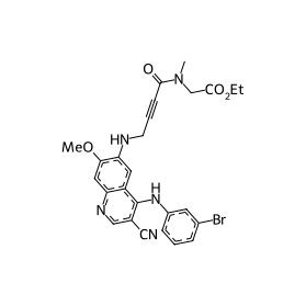 CCOC(=O)CN(C)C(=O)C#CCNc1cc2c(Nc3cccc(Br)c3)c(C#N)cnc2cc1OC